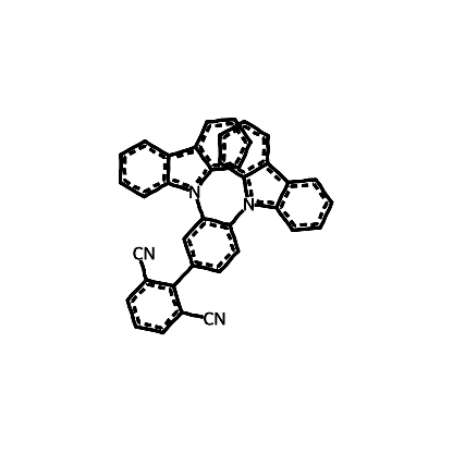 N#Cc1cccc(C#N)c1-c1ccc(-n2c3ccccc3c3ccccc32)c(-n2c3ccccc3c3ccccc32)c1